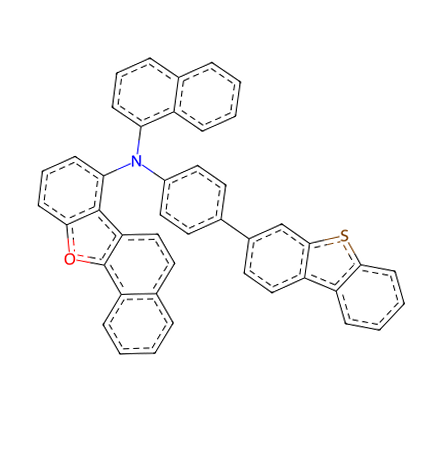 c1ccc2c(N(c3ccc(-c4ccc5c(c4)sc4ccccc45)cc3)c3cccc4oc5c6ccccc6ccc5c34)cccc2c1